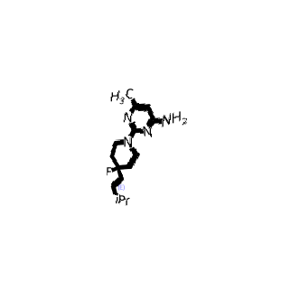 Cc1cc(N)nc(N2CCC(F)(/C=C/C(C)C)CC2)n1